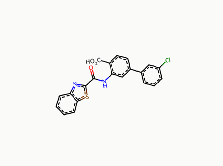 O=C(Nc1cc(-c2cccc(Cl)c2)ccc1C(=O)O)c1nc2ccccc2s1